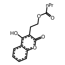 CCCC(=O)OCCc1c(O)c2ccccc2oc1=O